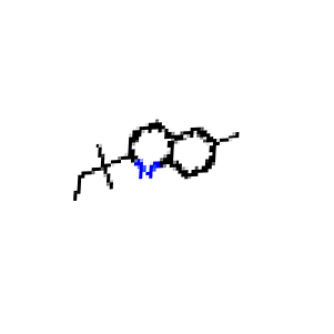 CCC(C)(C)c1ccc2cc(C)ccc2n1